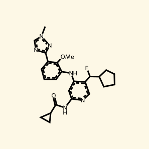 COc1c(Nc2cc(NC(=O)C3CC3)ncc2C(F)C2CCCC2)cccc1-c1ncn(C)n1